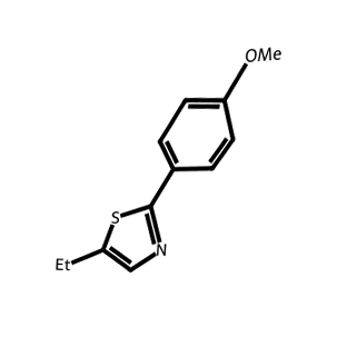 CCc1cnc(-c2ccc(OC)cc2)s1